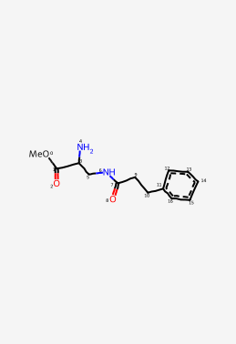 COC(=O)C(N)CNC(=O)CCc1ccccc1